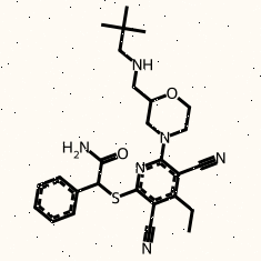 CCc1c(C#N)c(SC(C(N)=O)c2ccccc2)nc(N2CCOC(CNCC(C)(C)C)C2)c1C#N